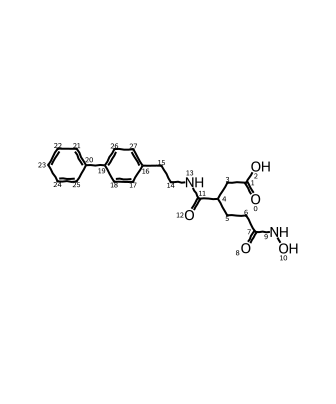 O=C(O)CC(CCC(=O)NO)C(=O)NCCc1ccc(-c2ccccc2)cc1